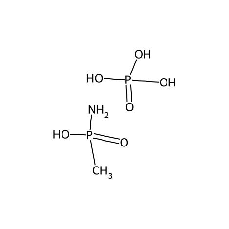 CP(N)(=O)O.O=P(O)(O)O